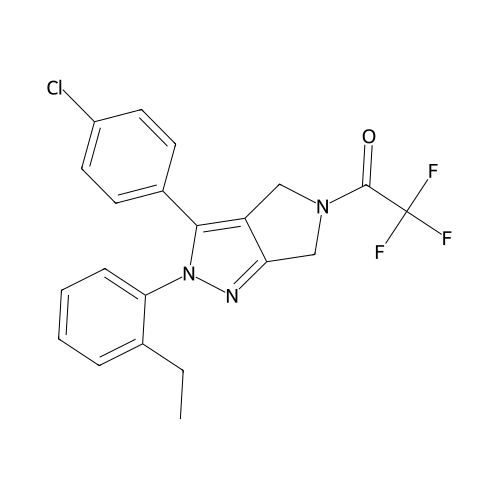 CCc1ccccc1-n1nc2c(c1-c1ccc(Cl)cc1)CN(C(=O)C(F)(F)F)C2